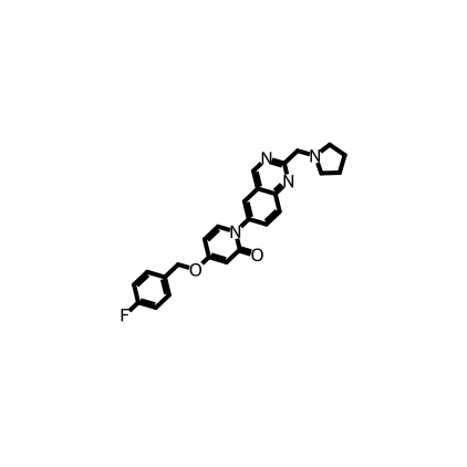 O=c1cc(OCc2ccc(F)cc2)ccn1-c1ccc2nc(CN3CCCC3)ncc2c1